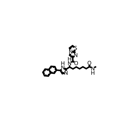 CNC(=O)CCCCCC(NC(=O)c1cn2ccsc2n1)c1ncc(-c2ccc3ccccc3c2)[nH]1